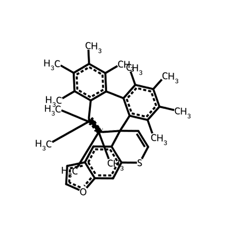 Cc1c(C)c(C)c2c(c1C)-c1c(C)c(C)c(C)c(C)c1C1(C=CSc3cc4occc4cc31)c1c(C)c(C)c(C)c(C)c1-2